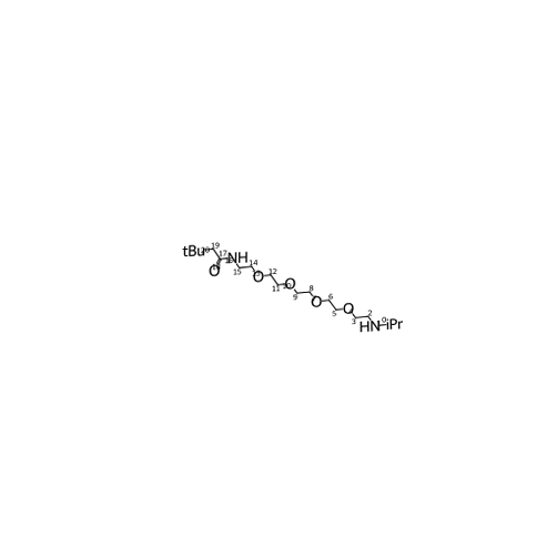 CC(C)NCCOCCOCCOCCOCCNC(=O)CC(C)(C)C